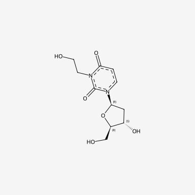 O=c1ccn([C@H]2C[C@H](O)[C@@H](CO)O2)c(=O)n1CCO